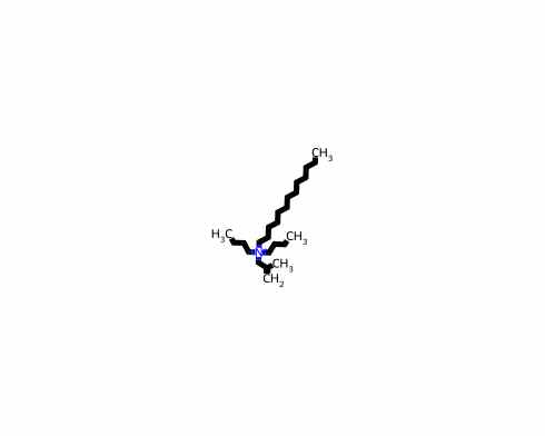 C=C(C)C[N+](CCCC)(CCCC)CCCCCCCCCCCCC